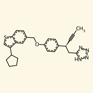 CC#C[C@@H](Cc1nnn[nH]1)c1ccc(OCc2ccc3scc(C4CCCC4)c3c2)cc1